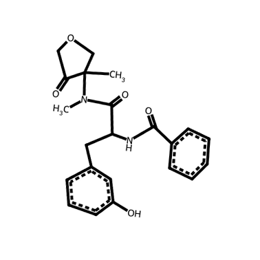 CN(C(=O)C(Cc1cccc(O)c1)NC(=O)c1ccccc1)C1(C)COCC1=O